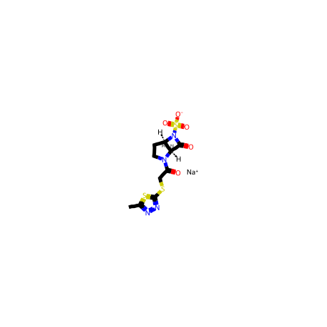 Cc1nnc(SCC(=O)N2CC[C@@H]3[C@H]2C(=O)N3S(=O)(=O)[O-])s1.[Na+]